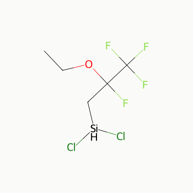 CCOC(F)(C[SiH](Cl)Cl)C(F)(F)F